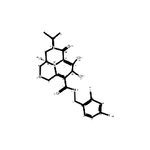 CC(C)N1C[C@@H]2COCC3=C(C(=O)NCc4ccc(F)cc4F)C(O)C(O)=C(C1=O)N32